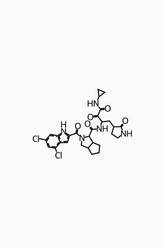 O=C(NC1CC1)C(=O)C(CC1CCNC1=O)NC(=O)C1C2CCCC2CN1C(=O)c1cc2c(Cl)cc(Cl)cc2[nH]1